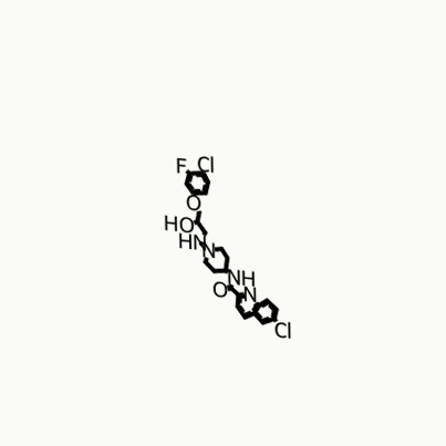 O=C(NC1CCN(NCC(O)COc2ccc(Cl)c(F)c2)CC1)c1ccc2cc(Cl)ccc2n1